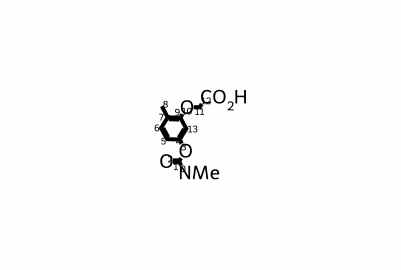 CNC(=O)Oc1ccc(C)c(OCC(=O)O)c1